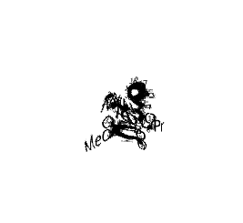 CO[C@@H]1CC(=O)OB([C@H](CC(C)C)NC(=O)[C@H](Cc2ccccc2)NC(=O)c2cnccn2)OC1=O